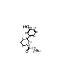 CC(C)(C)OC(=O)N1CCCC(c2cccc(O)c2)C1